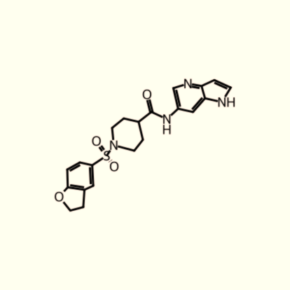 O=C(Nc1cnc2cc[nH]c2c1)C1CCN(S(=O)(=O)c2ccc3c(c2)CCO3)CC1